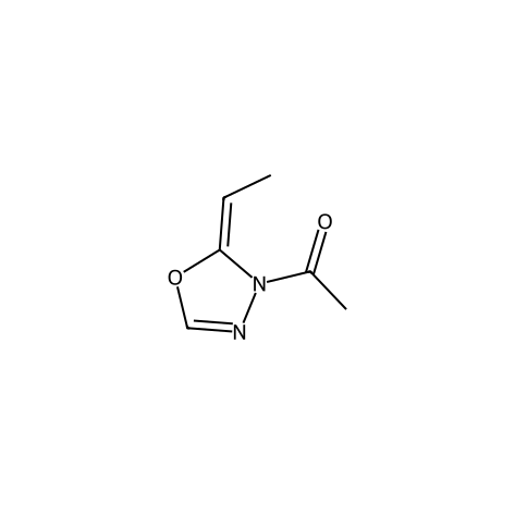 CC=C1OC=NN1C(C)=O